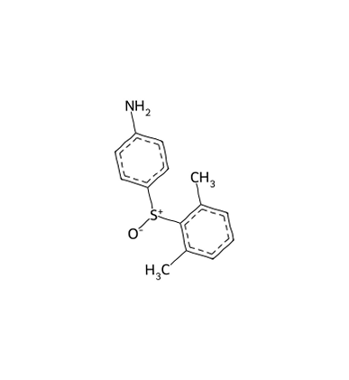 Cc1cccc(C)c1[S+]([O-])c1ccc(N)cc1